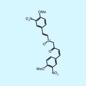 COc1ccc(/C=C\C(=O)C[S+]([O-])/C=C/c2ccc(OC)c([N+](=O)[O-])c2)cc1[N+](=O)[O-]